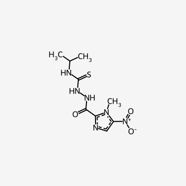 CC(C)NC(=S)NNC(=O)c1ncc([N+](=O)[O-])n1C